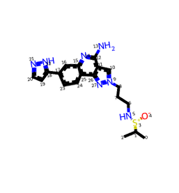 CC(C)[S+]([O-])NCCCn1cc2c(N)nc3cc(-c4ccn[nH]4)ccc3c2n1